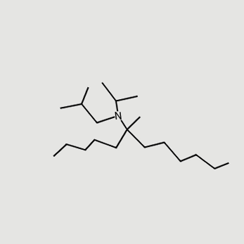 CCCCCCC(C)(CCCCC)N(CC(C)C)C(C)C